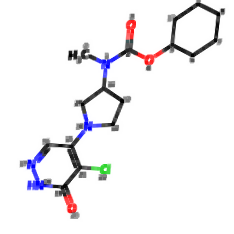 CN(C(=O)OC1CCCCC1)C1CCN(c2cn[nH]c(=O)c2Cl)C1